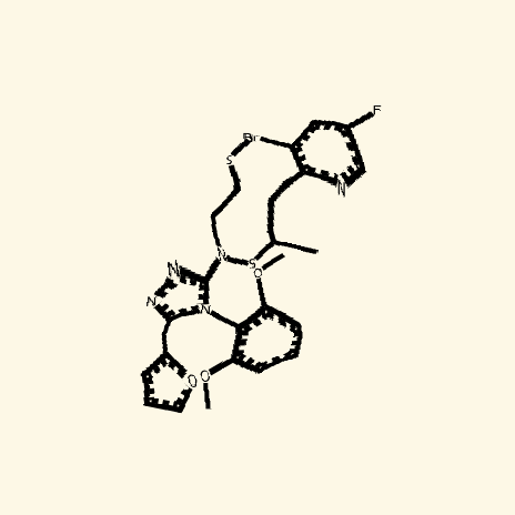 COc1cccc(OC)c1-n1c(-c2ccco2)nnc1N(CCSI)SC(C)Cc1ncc(F)cc1Br